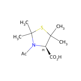 CC(=O)N1[C@H](C(=O)O)C(C)(C)SC1(C)C